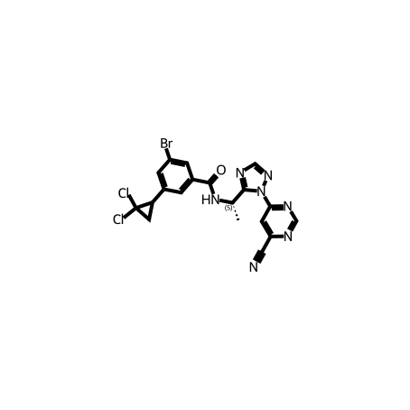 C[C@H](NC(=O)c1cc(Br)cc(C2CC2(Cl)Cl)c1)c1ncnn1-c1cc(C#N)ncn1